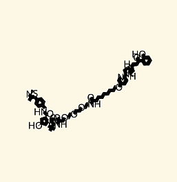 Cc1ncsc1-c1ccc(CNC(=O)[C@@H]2C[C@@H](O)CN2C(=O)[C@@H](NC(=O)COCCOCCOCCNC(=O)CCCCCCCCOc2ccc(N3C[C@H]4C[C@@H]3CN4/C=C/C(=O)c3ccccc3O)nc2)C(C)(C)C)cc1